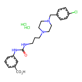 Cl.Cl.O=C(NCCCN1CCN(Cc2ccc(Cl)cc2)CC1)Nc1cccc(C(=O)O)c1